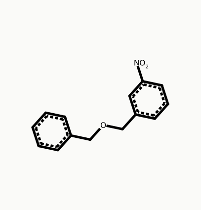 O=[N+]([O-])c1cccc(COCc2ccccc2)c1